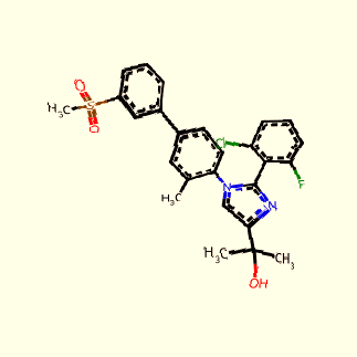 Cc1cc(-c2cccc(S(C)(=O)=O)c2)ccc1-n1cc(C(C)(C)O)nc1-c1c(F)cccc1Cl